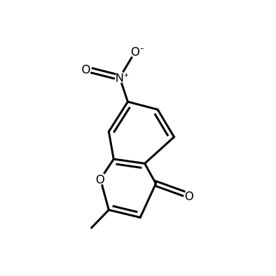 Cc1cc(=O)c2ccc([N+](=O)[O-])cc2o1